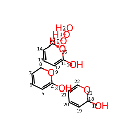 O.O.O.OC1=CC=CCO1.OC1=CC=CCO1.OC1C=CC=CO1